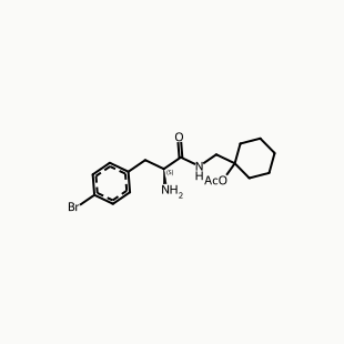 CC(=O)OC1(CNC(=O)[C@@H](N)Cc2ccc(Br)cc2)CCCCC1